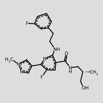 C[C@H](CO)CNC(=O)c1cc(F)c(-c2cnn(C)c2)nc1NCCc1cccc(F)c1